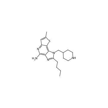 CCCCc1nc2c(N)nc3cc(C)sc3c2n1CC1CCNCC1